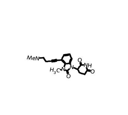 CNCCC#Cc1cccc2c1n(C)c(=O)n2C1CCC(=O)NC1=O